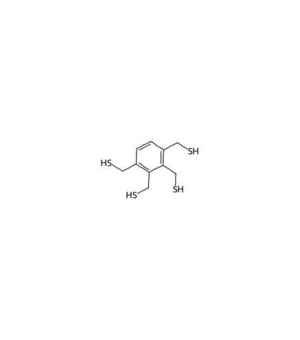 SCc1ccc(CS)c(CS)c1CS